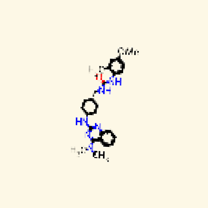 COc1ccc(NC(=O)NC[C@H]2CC[C@@H](Nc3nc(N(C)C)c4ccccc4n3)CC2)c(C)c1